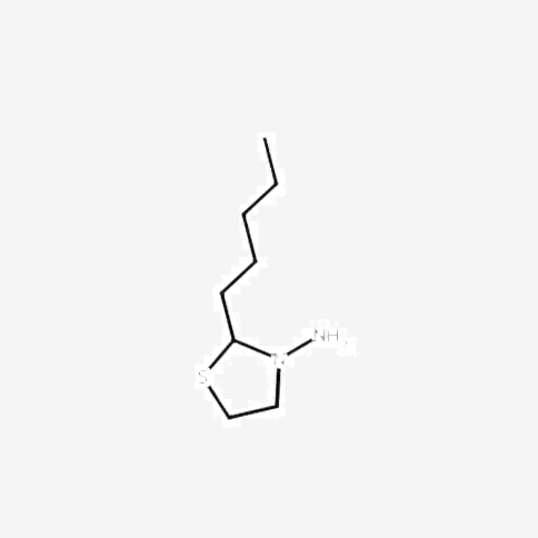 CCCCCC1SCCN1N